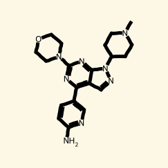 CN1CCC(n2ncc3c(-c4ccc(N)nc4)nc(N4CCOCC4)nc32)CC1